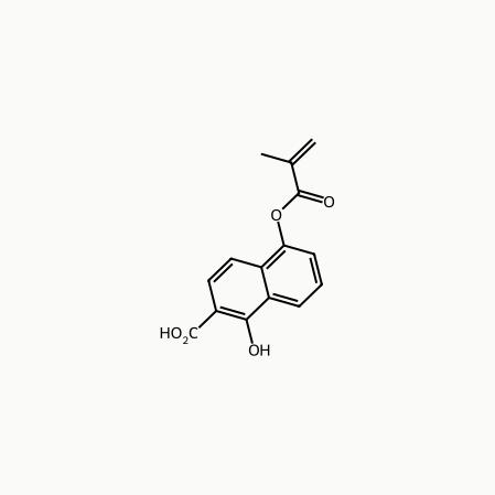 C=C(C)C(=O)Oc1cccc2c(O)c(C(=O)O)ccc12